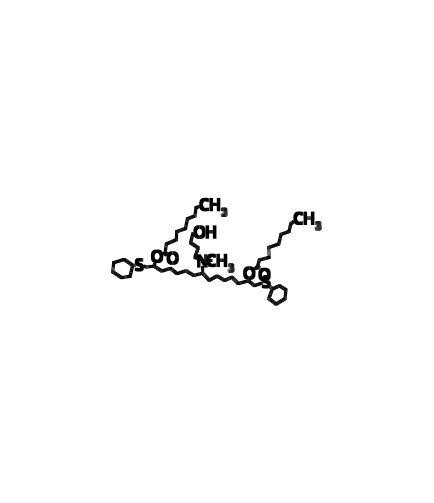 CCCCCCCCC(=O)OC(CCCCCC(CCCCCC(CSC1CCCCC1)OC(=O)CCCCCCCC)N(C)CCCCO)CSC1CCCCC1